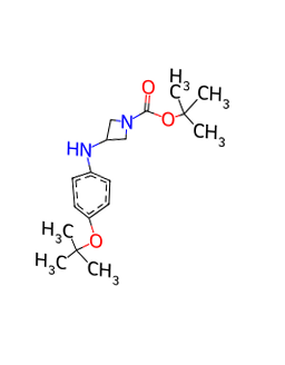 CC(C)(C)OC(=O)N1CC(Nc2ccc(OC(C)(C)C)cc2)C1